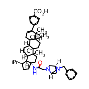 CC(C)[C@@H]1CC[C@]2(NC(=O)CN3C[C@@H]4C[C@H]3CN4Cc3ccccc3)CC[C@]3(C)[C@H](CC[C@@H]4[C@@]5(C)CC=C(c6ccc(C(=O)O)cc6)C(C)(C)[C@@H]5CC[C@]43C)[C@@H]12